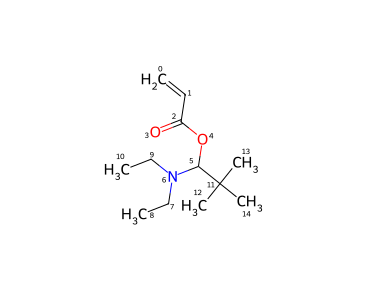 C=CC(=O)OC(N(CC)CC)C(C)(C)C